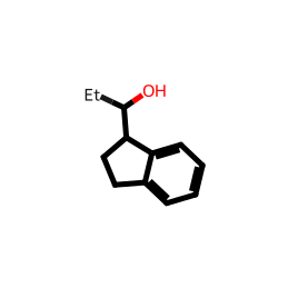 CCC(O)C1CCc2ccccc21